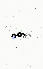 CC(C)Cc1ccc(-c2cccnc2)cc1Cl